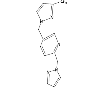 FC(F)(F)c1ccn(Cc2ccc(Cn3cccn3)nc2)n1